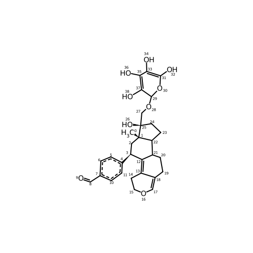 C[C@]12C[C@H](c3ccc(C=O)cc3)C3=C4CCOC=C4CCC3C1CC[C@@]2(O)COC1OC(O)=C(O)C(O)=C1O